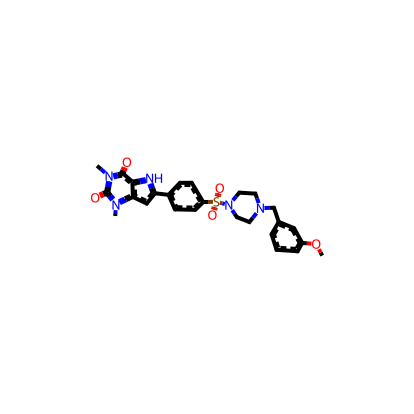 COc1cccc(CN2CCN(S(=O)(=O)c3ccc(-c4cc5c([nH]4)c(=O)n(C)c(=O)n5C)cc3)CC2)c1